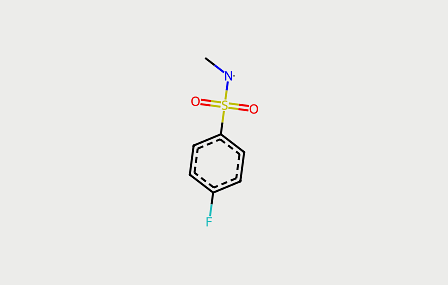 C[N]S(=O)(=O)c1ccc(F)cc1